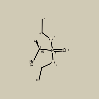 CCOP(=O)(OCC)[C@H](C)Br